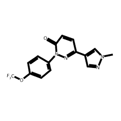 Cn1cc(-c2ccc(=O)n(-c3ccc(OC(F)(F)F)cc3)n2)cn1